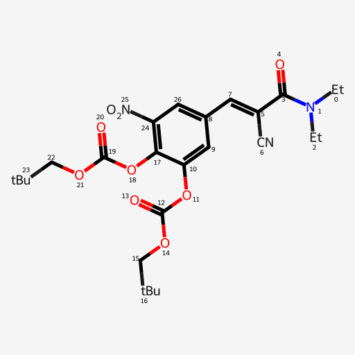 CCN(CC)C(=O)/C(C#N)=C/c1cc(OC(=O)OCC(C)(C)C)c(OC(=O)OCC(C)(C)C)c([N+](=O)[O-])c1